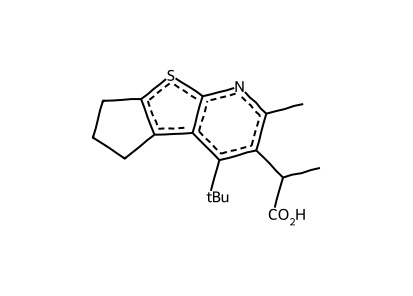 Cc1nc2sc3c(c2c(C(C)(C)C)c1C(C)C(=O)O)CCC3